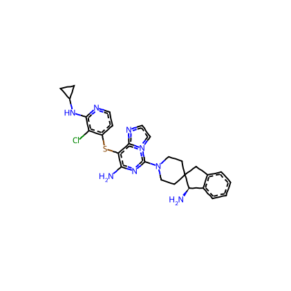 Nc1nc(N2CCC3(CC2)Cc2ccccc2[C@H]3N)n2ccnc2c1Sc1ccnc(NC2CC2)c1Cl